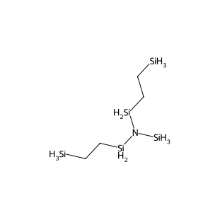 [SiH3]CC[SiH2]N([SiH3])[SiH2]CC[SiH3]